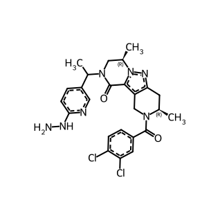 CC(c1ccc(NN)nc1)N1C[C@@H](C)n2nc3c(c2C1=O)CN(C(=O)c1ccc(Cl)c(Cl)c1)[C@H](C)C3